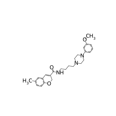 COc1cccc(N2CCN(CCCCNC(=O)C3=Cc4cc(C)ccc4OC3)CC2)c1